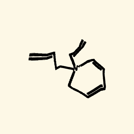 C=CC[N+]1(C=C)C=CC=CC1